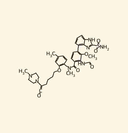 COc1c(-c2cccc3[nH]c(S(N)(=O)=O)nc23)ccc(C(=O)N(C)c2ccc(C)cc2OCCCCC(=C=O)N2CCN(C)CC2)c1NC=O